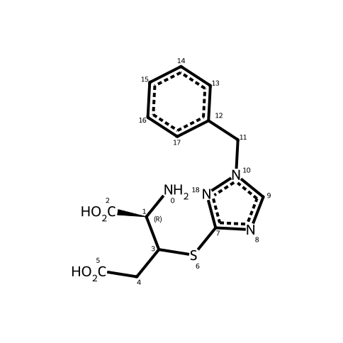 N[C@H](C(=O)O)C(CC(=O)O)Sc1ncn(Cc2ccccc2)n1